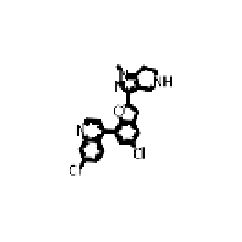 Cn1nc(C2Cc3cc(Cl)cc(-c4ccnc5cc(Cl)ccc45)c3O2)c2c1CCNC2